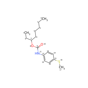 CCCCCC(CC)OC(=O)Nc1ccc(SC)cc1